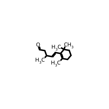 CC1=C(/C=C/C(C)CC=O)C(C)(C)CCC1